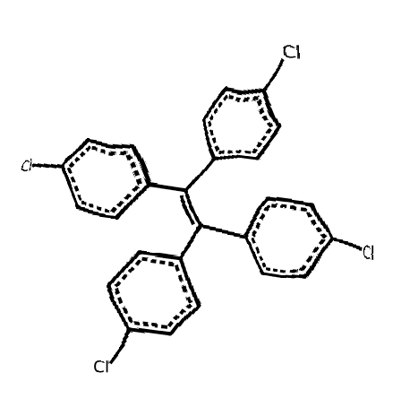 Clc1ccc(C(=C(c2ccc(Cl)cc2)c2ccc(Cl)cc2)c2ccc(Cl)cc2)cc1